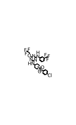 O=S(=O)(c1ccc(Cl)cc1)N1CCC(Nc2nc(Nc3cccc(C(F)(F)F)c3)nc(OCC(F)(F)F)n2)CC1